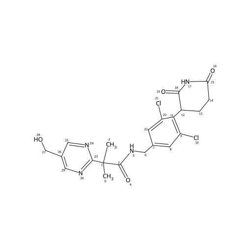 CC(C)(C(=O)NCc1cc(Cl)c(C2CCC(=O)NC2=O)c(Cl)c1)c1ncc(CO)cn1